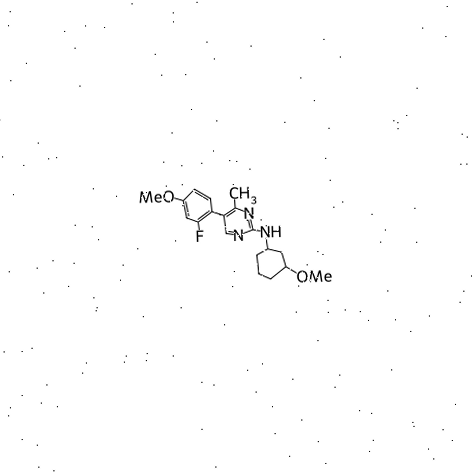 COc1ccc(-c2cnc(NC3CCCC(OC)C3)nc2C)c(F)c1